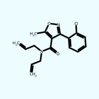 C=CCN(CC=C)C(=O)c1c(-c2ccccc2Cl)noc1C